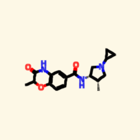 CC1Oc2ccc(C(=O)N[C@@H]3CN(C4CC4)C[C@@H]3C)cc2NC1=O